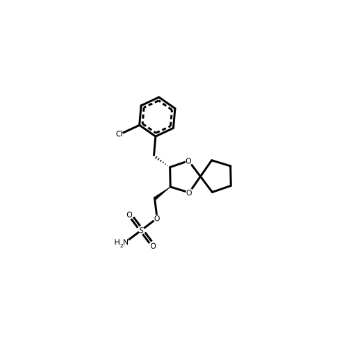 NS(=O)(=O)OC[C@@H]1OC2(CCCC2)O[C@H]1Cc1ccccc1Cl